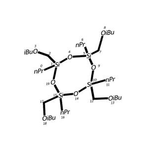 CCC[Si]1(COCC(C)C)O[Si](CCC)(COCC(C)C)O[Si](CCC)(COCC(C)C)O[Si](CCC)(COCC(C)C)O1